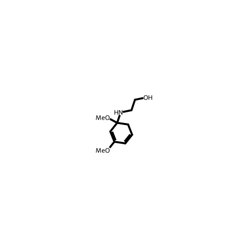 COC1=CC(NCCO)(OC)CC=C1